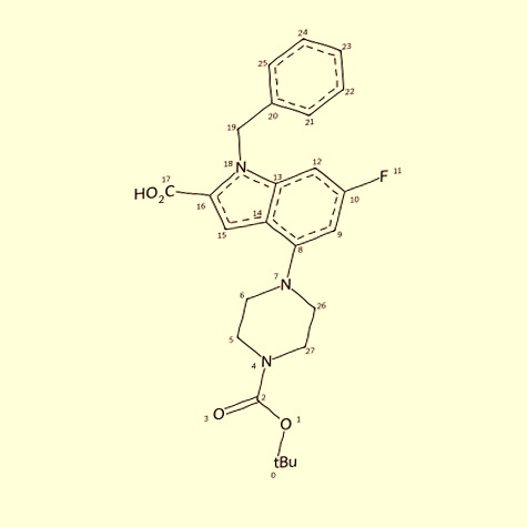 CC(C)(C)OC(=O)N1CCN(c2cc(F)cc3c2cc(C(=O)O)n3Cc2ccccc2)CC1